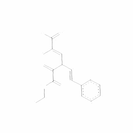 C=C(C(=O)OCC)C(C=Cc1ccccc1)C=C(C)C(=O)O